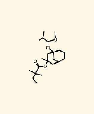 CCC(C)(C)C(=O)OC1(C)CC2CCCC(OC(OC)C(C)C)(C2)C1